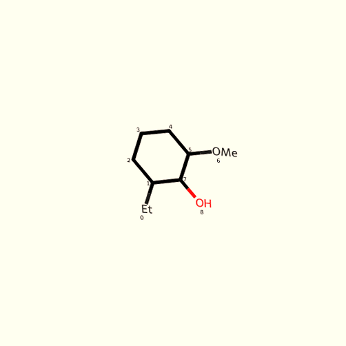 [CH2]CC1CCCC(OC)C1O